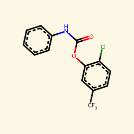 O=C(Nc1ccccc1)Oc1cc(C(F)(F)F)ccc1Cl